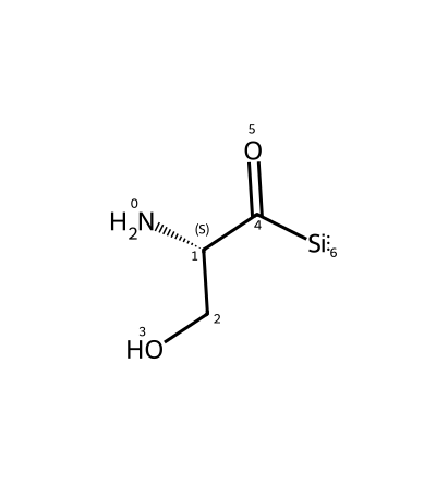 N[C@@H](CO)C(=O)[Si]